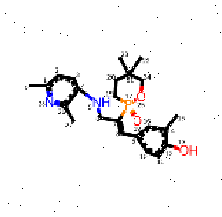 Cc1ccc(NCC(=Cc2ccc(O)c(C)c2)P2(=O)CCC(C)(C)CO2)c(C)n1